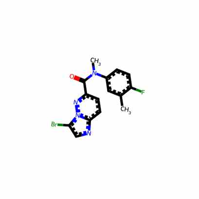 Cc1cc(N(C)C(=O)c2ccc3ncc(Br)n3n2)ccc1F